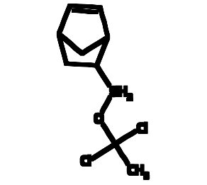 CC(Cl)(Cl)O[SiH2]C1CC2C=CC1C2